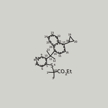 CCOC(=O)C(C)(C)Sc1ccncc1C(C)(C)c1ccc(C2CC2)c2ccccc12